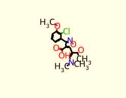 COc1cccc(-c2noc(C(=CN(C)C)C(C)=O)c2C(=O)O)c1Cl